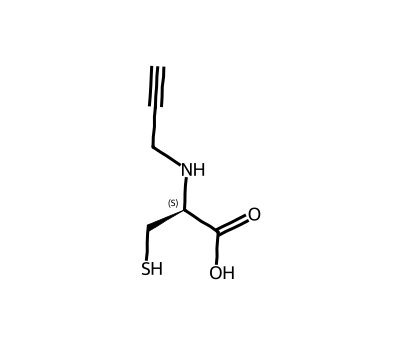 C#CCN[C@H](CS)C(=O)O